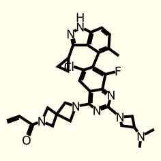 C=CC(=O)N1CC2(C1)CN(c1nc(N3CC(N(C)C)C3)nc3c(F)c(-c4c(C)ccc5[nH]nc(C6CC6)c45)c(Cl)cc13)C2